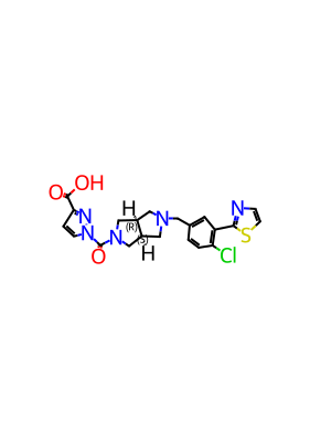 O=C(O)c1ccn(C(=O)N2C[C@H]3CN(Cc4ccc(Cl)c(-c5nccs5)c4)C[C@H]3C2)n1